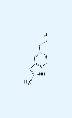 CCOCc1ccc2[nH]c(C)nc2c1